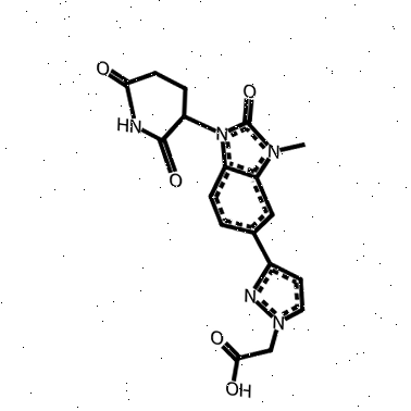 Cn1c(=O)n(C2CCC(=O)NC2=O)c2ccc(-c3ccn(CC(=O)O)n3)cc21